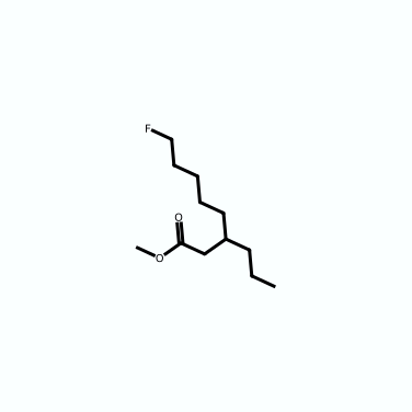 CCCC(CCCCCF)CC(=O)OC